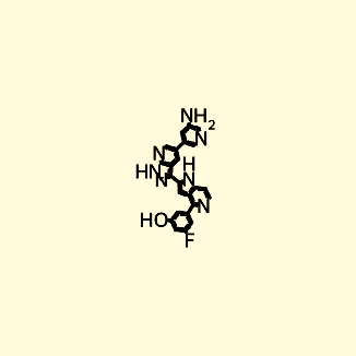 Nc1cncc(-c2cnc3[nH]nc(-c4cc5c(-c6cc(O)cc(F)c6)nccc5[nH]4)c3c2)c1